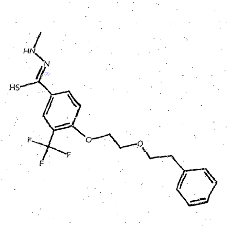 CN/N=C(\S)c1ccc(OCCOCCc2ccccc2)c(C(F)(F)F)c1